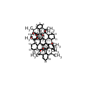 CC(C)c1cccc(C(C)C)c1-c1nc2c(-c3c(C(C)C)cccc3C(C)C)c3c4c(c(-c5c(C(C)C)cccc5C(C)C)nc3c(-c3c(C(C)C)cccc3C(C)C)c2c2c1C1CCC2CC1)C1CC1=C4